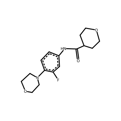 O=C(Nc1ccc(N2CCOCC2)c(F)c1)C1CCOCC1